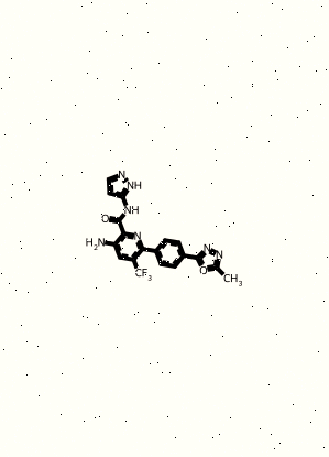 Cc1nnc(-c2ccc(-c3nc(C(=O)Nc4ccn[nH]4)c(N)cc3C(F)(F)F)cc2)o1